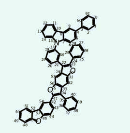 c1ccc(-c2ccc3c(c2)c2ccccc2n3-c2cccc(-c3c(-c4ccccc4)oc4cc5c(-c6ccccc6)c(-c6ccc7oc8ccccc8c7c6)oc5cc34)c2)cc1